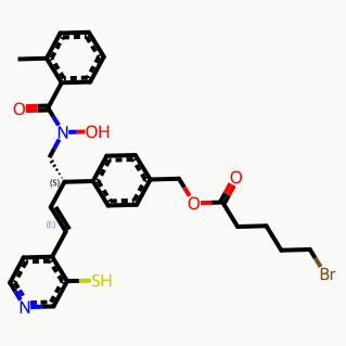 Cc1ccccc1C(=O)N(O)C[C@@H](/C=C/c1ccncc1S)c1ccc(COC(=O)CCCCBr)cc1